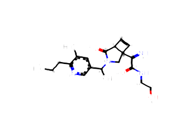 Cc1cc(C(C)N2CC3(C(=N)C(=O)NCCO)C=CC3C2=O)cnc1CCC(F)(F)F